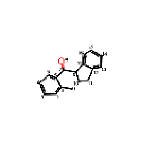 Cc1ccccc1C(=O)C1CCc2ccccc21